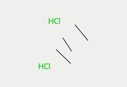 CC.CC.CC.Cl.Cl